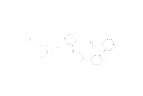 CC(C)(C)C(=O)OCOC(=O)CCOc1ccccc1NCC(=O)c1ccc(Cl)c(-c2cnc(C(F)(F)F)cc2C#N)c1